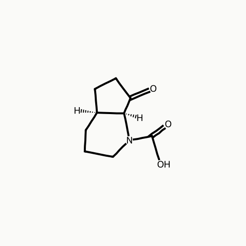 O=C1CC[C@@H]2CCCN(C(=O)O)[C@H]12